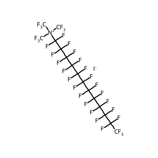 FC(F)(F)C(F)(F)C(F)(F)C(F)(F)C(F)(F)C(F)(F)C(F)(F)C(F)(F)C(F)(F)C(F)(F)C(F)(F)C(F)(F)[N+](C(F)(F)F)(C(F)(F)F)C(F)(F)F.[I-]